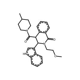 COCCN1C(=O)c2ccccc2C(C(=O)N2CCC(C)CC2)C1c1c[nH]c2ccccc12